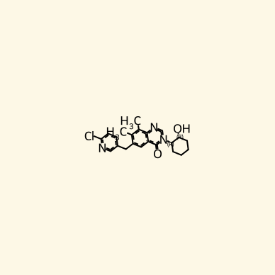 Cc1c(Cc2ccc(Cl)nc2)cc2c(=O)n([C@@H]3CCCC[C@H]3O)cnc2c1C